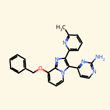 Cc1cccc(-c2nc3c(OCc4ccccc4)cccn3c2-c2ccnc(N)n2)n1